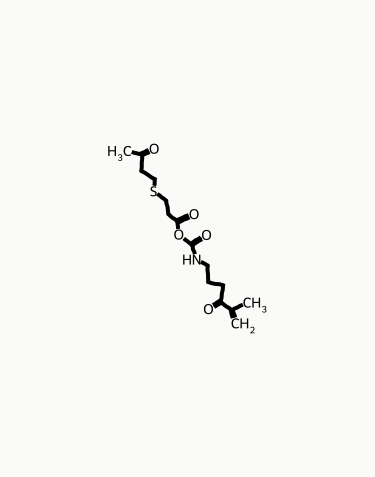 C=C(C)C(=O)CCCNC(=O)OC(=O)CCSCCC(C)=O